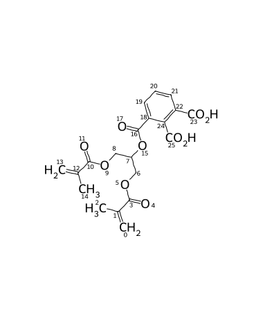 C=C(C)C(=O)OCC(COC(=O)C(=C)C)OC(=O)c1cccc(C(=O)O)c1C(=O)O